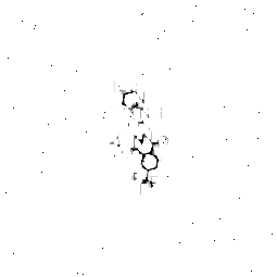 O=C(Cn1nc(OC2CC2)c2cc(C(F)(F)F)ccc2c1=O)Nc1ncc(F)cn1